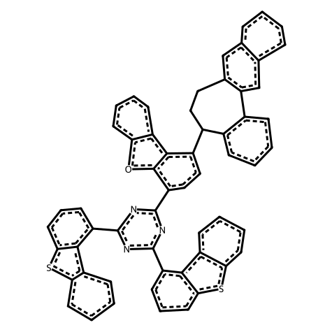 c1ccc2c(c1)-c1cc3ccccc3cc1CCC2c1ccc(-c2nc(-c3cccc4sc5ccccc5c34)nc(-c3cccc4sc5ccccc5c34)n2)c2oc3ccccc3c12